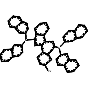 CC(C)c1ccc2c(c1)c(N(c1ccc3ccccc3c1)c1ccc3ccccc3c1)cc1c3ccccc3c(N(c3ccc4ccccc4c3)c3ccc4ccccc4c3)cc21